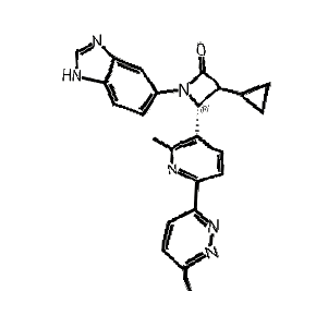 Cc1ccc(-c2ccc([C@H]3C(C4CC4)C(=O)N3c3ccc4[nH]cnc4c3)c(C)n2)nn1